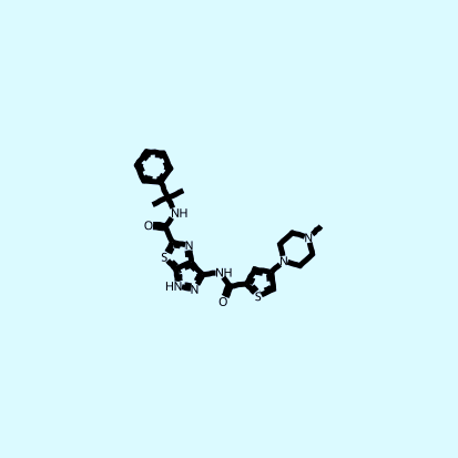 CN1CCN(c2csc(C(=O)Nc3n[nH]c4sc(C(=O)NC(C)(C)c5ccccc5)nc34)c2)CC1